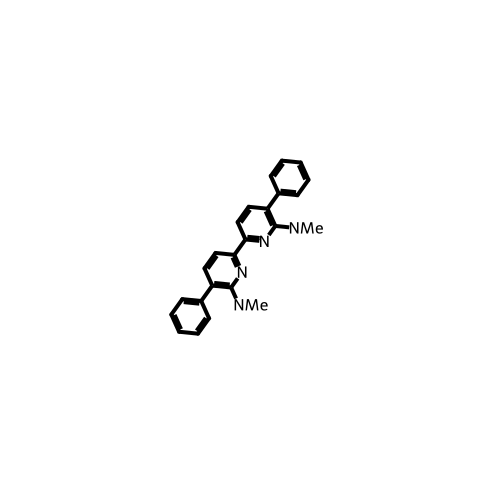 CNc1nc(-c2ccc(-c3ccccc3)c(NC)n2)ccc1-c1ccccc1